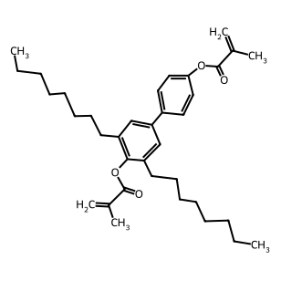 C=C(C)C(=O)Oc1ccc(-c2cc(CCCCCCCC)c(OC(=O)C(=C)C)c(CCCCCCCC)c2)cc1